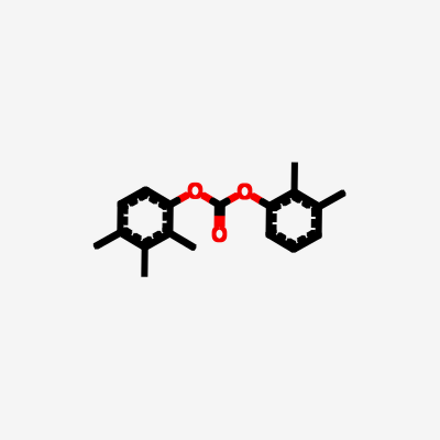 Cc1cccc(OC(=O)Oc2ccc(C)c(C)c2C)c1C